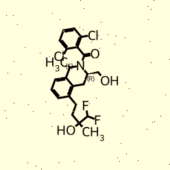 C[C@H]1c2cccc(CCC(C)(O)C(F)F)c2C[C@H](CO)N1C(=O)c1c(Cl)cccc1Cl